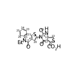 CCN(C(=O)c1csc(-n2c(=O)[nH]c3csc(C(=O)O)c3c2=O)c1)c1ccccc1